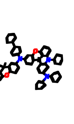 CC1(C)c2ccccc2Oc2ccc(N(c3ccc(-c4ccccc4)cc3)c3ccc4c(c3)Oc3cccc5c3B4c3ccc(N(c4ccccc4)c4ccccc4)cc3N5c3ccccc3)cc21